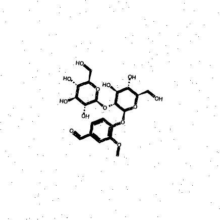 COc1cc(C=O)ccc1O[C@@H]1O[C@H](CO)[C@@H](O)[C@H](O)[C@H]1O[C@@H]1O[C@H](CO)[C@@H](O)[C@H](O)[C@H]1O